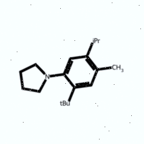 Cc1cc(C(C)(C)C)c(N2CCCC2)cc1C(C)C